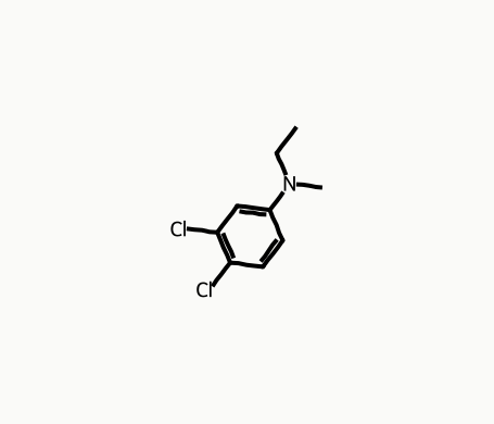 CCN(C)c1ccc(Cl)c(Cl)c1